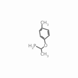 Cc1ccc(OC(C)P)cc1